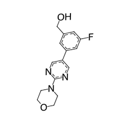 OCc1cc(F)cc(-c2cnc(N3CCOCC3)nc2)c1